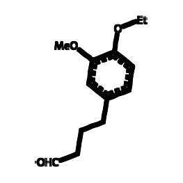 CCOc1ccc(CCC[C]=O)cc1OC